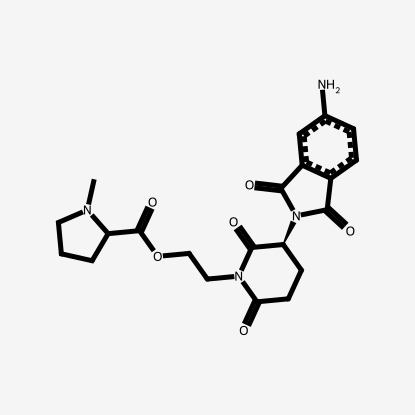 CN1CCCC1C(=O)OCCN1C(=O)CC[C@H](N2C(=O)c3ccc(N)cc3C2=O)C1=O